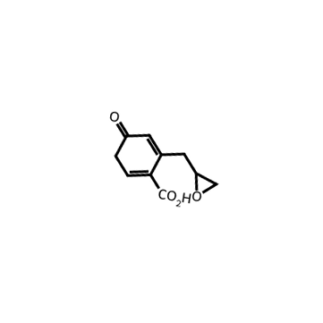 O=C1C=C(CC2CO2)C(C(=O)O)=CC1